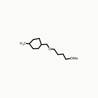 COCCCCOCC1CCC(C)CC1